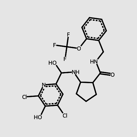 O=C(NCc1ccccc1OC(F)(F)F)C1CCCC1NC(O)c1cc(Cl)c(O)c(Cl)n1